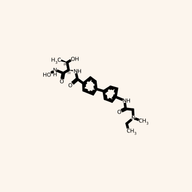 CCN(C)CC(=O)Nc1ccc(-c2ccc(C(=O)N[C@H](C(=O)NO)[C@@H](C)O)cc2)cc1